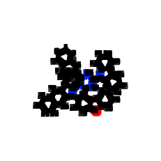 c1ccc2cc(-c3nc(-c4c(-n5c6ccccc6c6cc7ccccc7cc65)ccc5oc6ccccc6c45)nc(-n4c5ccccc5c5ccccc54)n3)ccc2c1